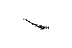 CCCCCCCCCCCCCCCCCCCCCC(=O)Oc1ccc(O)cc1